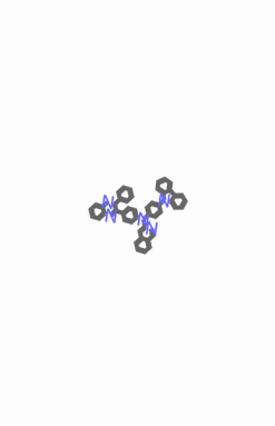 c1ccc(-c2nc3ccccc3nc2-c2ccc(N(c3ccc(-n4c5ccccc5c5ccccc54)cc3)c3cc4ccccc4cn3)cc2)cc1